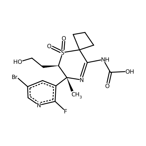 C[C@]1(c2cc(Br)cnc2F)N=C(NC(=O)O)C2(CCC2)S(=O)(=O)[C@@H]1CCO